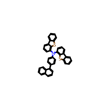 c1ccc2c(-c3ccc(N(c4cccc5c4sc4ccccc45)c4cccc5c4sc4ccccc45)cc3)cccc2c1